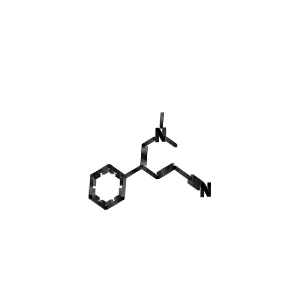 CN(C)C=C(C=CC#N)c1ccccc1